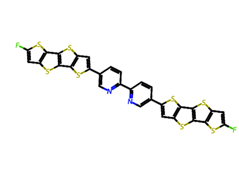 Fc1cc2sc3c4sc(-c5ccc(-c6ccc(-c7cc8sc9c%10sc(F)cc%10sc9c8s7)cn6)nc5)cc4sc3c2s1